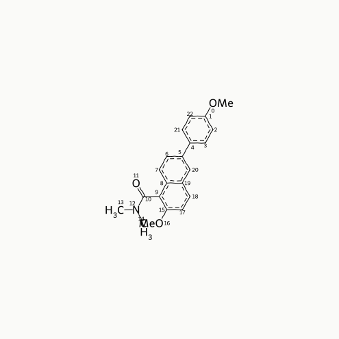 COc1ccc(-c2ccc3c(C(=O)N(C)C)c(OC)ccc3c2)cc1